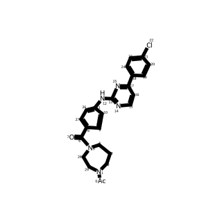 CC(=O)N1CCCN(C(=O)c2ccc(Nc3nccc(-c4ccc(Cl)cc4)n3)cc2)CC1